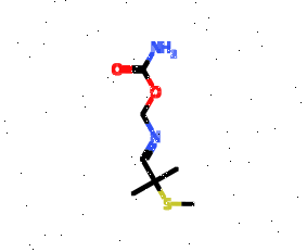 CSC(C)(C)C=NCOC(N)=O